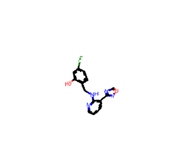 Oc1cc(F)ccc1CNc1ncccc1-c1ncon1